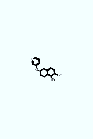 CC(C)C1CC=C2C[C@@H](Oc3cccnc3)CC[C@]2(C)C1C(C)C